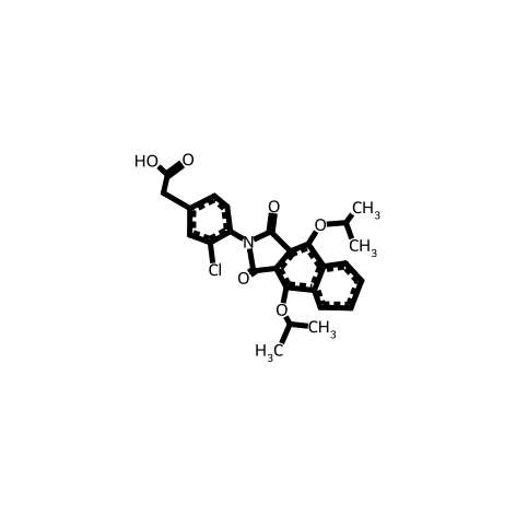 CC(C)Oc1c2c(c(OC(C)C)c3ccccc13)C(=O)N(c1ccc(CC(=O)O)cc1Cl)C2=O